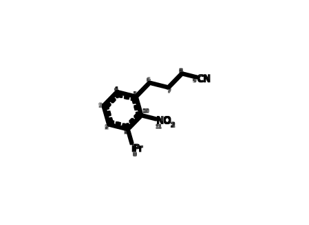 CC(C)c1cccc(CCCC#N)c1[N+](=O)[O-]